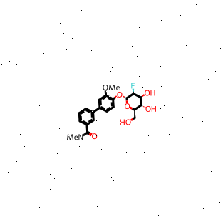 CNC(=O)c1cccc(-c2ccc(O[C@H]3O[C@H](CO)[C@@H](O)[C@H](O)[C@@H]3F)c(OC)c2)c1